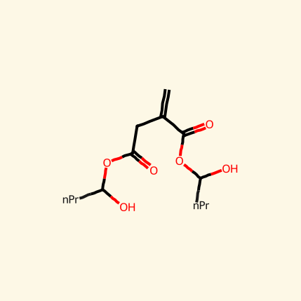 C=C(CC(=O)OC(O)CCC)C(=O)OC(O)CCC